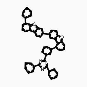 c1ccc(-c2nc(-c3ccccc3)nc(-c3cccc(-c4cccc5oc6ccc(-c7ccc8c(c7)sc7c(-c9ccccc9)cccc78)cc6c45)c3)n2)cc1